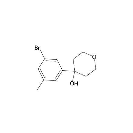 Cc1cc(Br)cc(C2(O)CCOCC2)c1